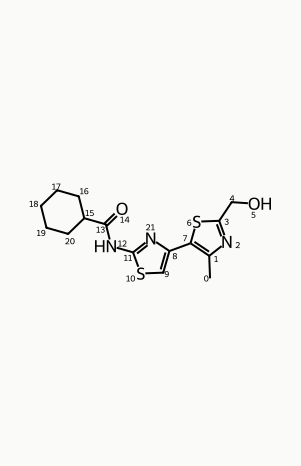 Cc1nc(CO)sc1-c1csc(NC(=O)C2CCCCC2)n1